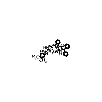 COC(=O)NC(C(=O)Nc1ccccc1CC[C@@H]1CN[C@H](c2nc3cc(C)c(C)cc3[nH]2)CO1)C(c1ccccc1)c1ccccc1